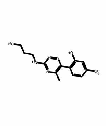 Cc1nc(NCCCO)nnc1-c1ccc(C(F)(F)F)cc1O